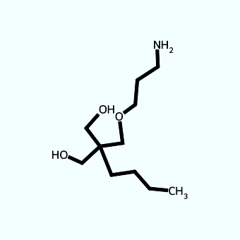 CCCCC(CO)(CO)COCCCN